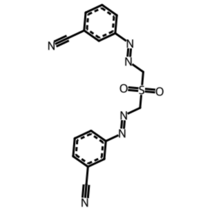 N#Cc1cccc(N=NCS(=O)(=O)CN=Nc2cccc(C#N)c2)c1